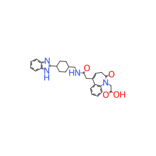 O=C(O)CN1C(=O)CC=C(CC(=O)NCC2CCC(c3nc4ccccc4[nH]3)CC2)c2ccccc21